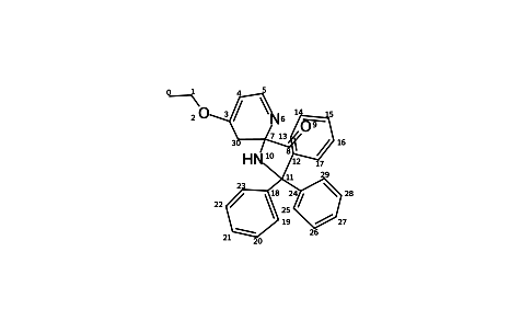 CCOC1=CC=NC(C=O)(NC(c2ccccc2)(c2ccccc2)c2ccccc2)C1